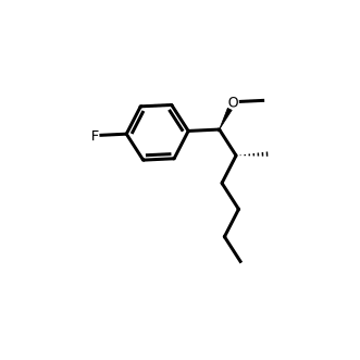 CCCC[C@@H](C)[C@H](OC)c1ccc(F)cc1